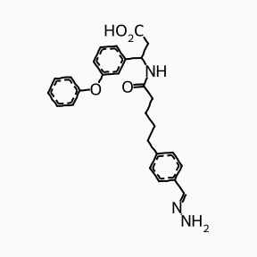 NN=Cc1ccc(CCCCC(=O)NC(CC(=O)O)c2cccc(Oc3ccccc3)c2)cc1